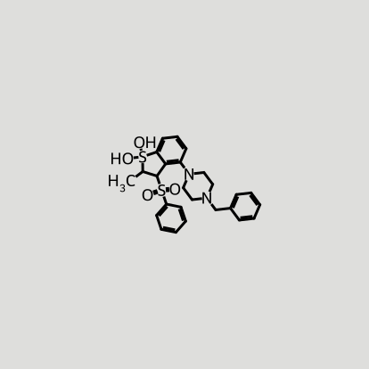 CC1C(S(=O)(=O)c2ccccc2)c2c(N3CCN(Cc4ccccc4)CC3)cccc2S1(O)O